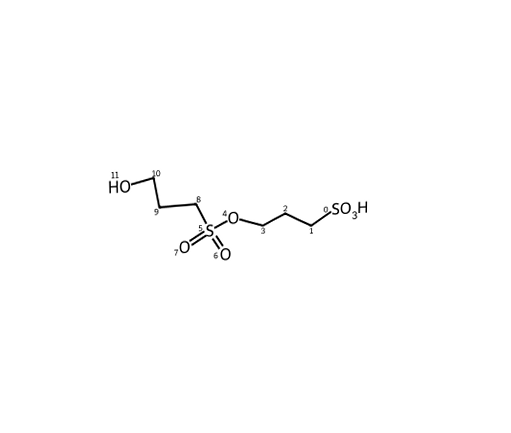 O=S(=O)(O)CCCOS(=O)(=O)CCCO